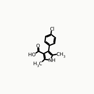 Cc1[nH]c(C)c(-c2ccc(Cl)cc2)c1C(=O)O